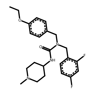 CCOc1ccc(CN(Cc2ccc(F)cc2F)C(=O)NC2CCN(C)CC2)cc1